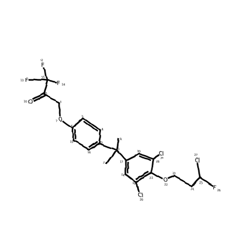 CC(C)(c1ccc(OCC(=O)C(F)(F)F)cc1)c1cc(Cl)c(OCCC(F)Cl)c(Cl)c1